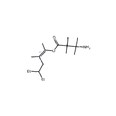 CCC(CC)C/C(C)=C(/C)OC(=O)C(C)(C)C(C)(C)N